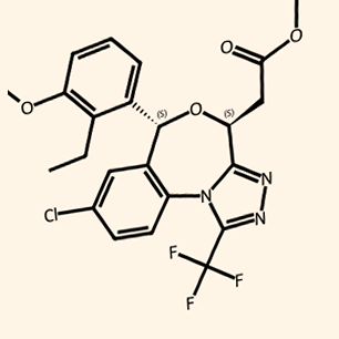 CCOC(=O)C[C@@H]1O[C@@H](c2cccc(OC)c2CC)c2cc(Cl)ccc2-n2c1nnc2C(F)(F)F